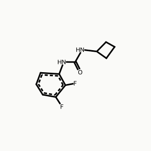 O=C(Nc1cccc(F)c1F)NC1CCC1